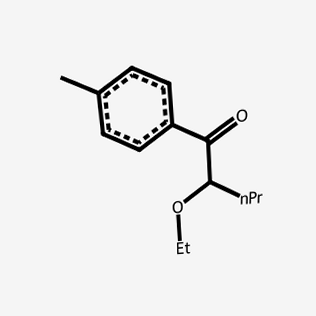 CCCC(OCC)C(=O)c1ccc(C)cc1